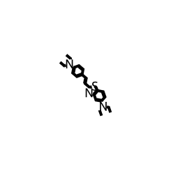 CCN(CC)c1ccc(C=Cc2nc3cc(N(CC)CC)ccc3s2)cc1